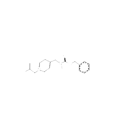 C[C](C)CN1CCC(CNC(=O)OCc2ccccc2)CC1